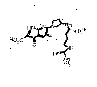 N=C(NCCC[C@H](NC1CCN(c2nc3[nH]cc(C(=O)O)c(=O)c3cc2F)C1)C(=O)O)N[N+](=O)[O-]